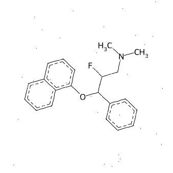 CN(C)CC(F)C(Oc1cccc2ccccc12)c1ccccc1